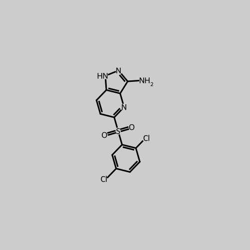 Nc1n[nH]c2ccc(S(=O)(=O)c3cc(Cl)ccc3Cl)nc12